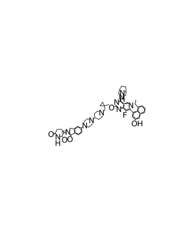 CCc1cccc2cc(O)cc(-c3ncc4c(N5CC6CCC(C5)N6)nc(OCC5(CN6CCC(N7CCN(c8ccc9c(c8)CN([C@H]8CCC(=O)NC8=O)C9=O)CC7)CC6)CC5)nc4c3F)c12